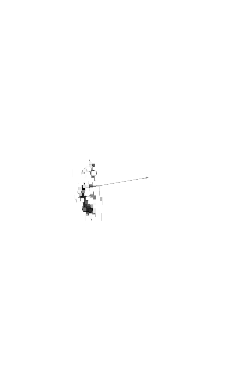 CCCCCCCCCCCCCCCCCCCC(COP(=O)(O)OC1C2(C)OC(c3ccc4c(N)ncnn34)C(O)C12O)OCc1ccc(C#N)c(OC)c1